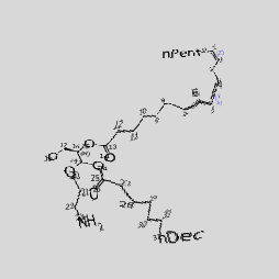 CCCCC/C=C\C/C=C\CCCCCCCC(=O)O[C@H](C[O])C(OCCN)OC(=O)CCCCCCCCCCCCCCC